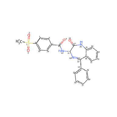 CS(=O)(=O)c1ccc(C(=O)NC2N=C(c3ccccc3)c3ccccc3NC2=O)cc1